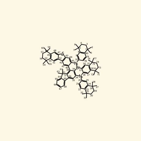 CC1(C)CCC(C)(C)c2cc(N3B4c5cc6c(cc5N(c5ccc7c(c5)C(C)(C)CCC7(C)C)c5cc7c(c(c54)-c4cc5c(cc43)sc3cc4c(cc35)C(C)(C)CCC4(C)C)C(C)(C)c3ccccc3-7)C(C)(C)CCC6(C)C)ccc21